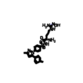 Cc1ccc(-c2cc(C)nn2-c2ccc(S(=O)(=O)NC(=O)[C@@H](N)CCCN/C(N)=N\O)cc2)cc1